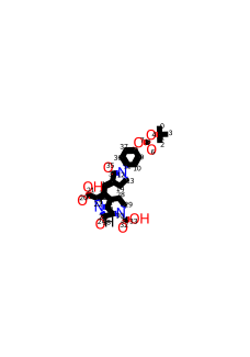 CC(C)(C)OC(=O)Oc1ccc(N2CC/C(=C\C3=C(C(=O)O)N4C(=O)[C@@H]5[C@H]4C3CCN5C(=O)O)C2=O)cc1